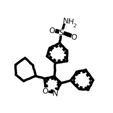 NS(=O)(=O)c1ccc(-c2c(-c3ccccc3)noc2C2CCCCC2)cc1